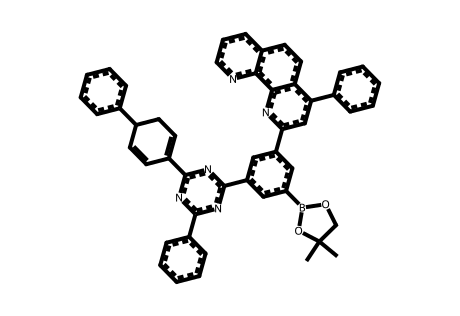 CC1(C)COB(c2cc(-c3cc(-c4ccccc4)c4ccc5cccnc5c4n3)cc(-c3nc(C4=CCC(c5ccccc5)C=C4)nc(-c4ccccc4)n3)c2)O1